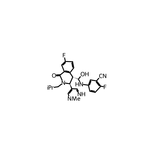 CN/C=C(\C=N)[C@@H]1[C@@H](C(O)Nc2ccc(F)c(C#N)c2)c2ccc(F)cc2C(=O)N1CC(C)C